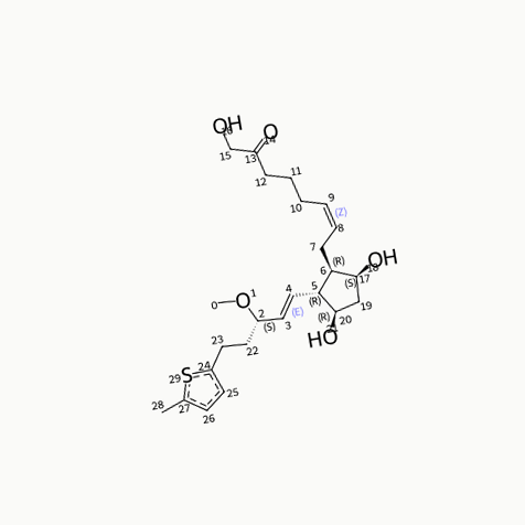 CO[C@H](/C=C/[C@@H]1[C@@H](C/C=C\CCCC(=O)CO)[C@@H](O)C[C@H]1O)CCc1ccc(C)s1